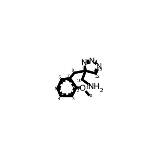 COc1ccccc1CC1(CN)C=NN=N1